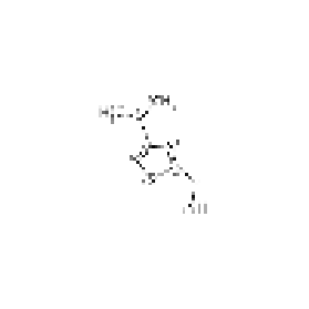 CC(C)c1csc(C[NH])n1